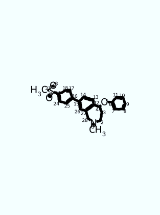 CN1CCC(Oc2ccccc2)c2ccc(-c3ccc(S(C)(=O)=O)cc3)cc2C1